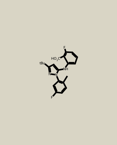 Cc1ccc(F)cc1-n1nc(C(C)(C)C)cc1Nc1cccc(F)c1C(=O)O